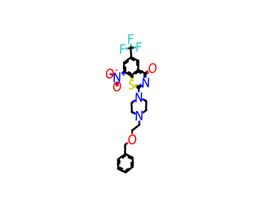 O=c1nc(N2CCN(CCOCc3ccccc3)CC2)sc2c([N+](=O)[O-])cc(C(F)(F)F)cc12